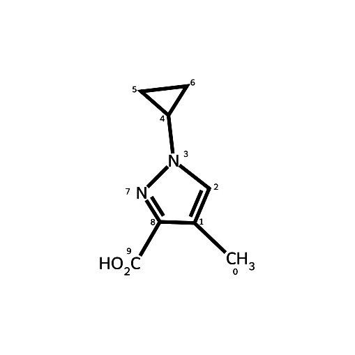 Cc1cn(C2CC2)nc1C(=O)O